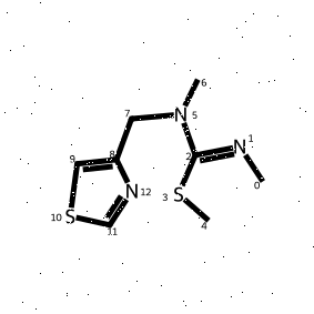 CN=C(SC)N(C)Cc1cscn1